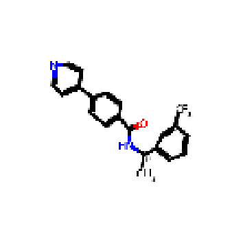 C[C@@H](NC(=O)c1ccc(-c2ccncc2)cc1)c1cccc(C(F)(F)F)c1